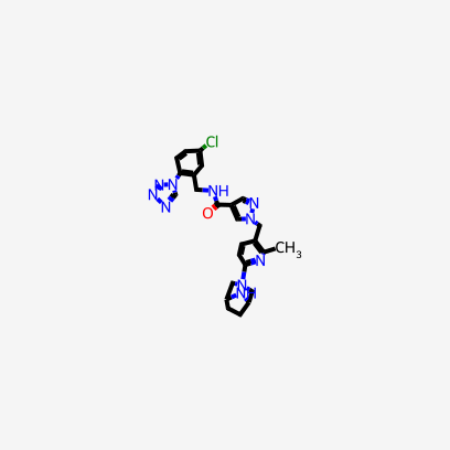 Cc1nc(N2CC3CCC(C2)N3)ccc1Cn1cc(C(=O)NCc2cc(Cl)ccc2-n2cnnn2)cn1